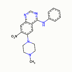 CN1CCN(c2cc3c(Nc4ccccc4)ncnc3cc2[N+](=O)[O-])CC1